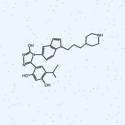 CC(C)c1cc(-c2nnc(O)n2-c2ccc3c(ccn3CCCC3CCNCC3)c2)c(O)cc1O